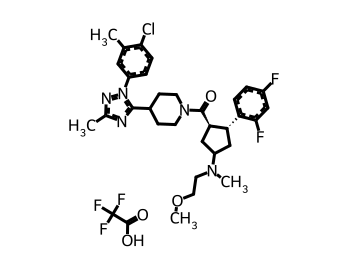 COCCN(C)C1C[C@@H](C(=O)N2CCC(c3nc(C)nn3-c3ccc(Cl)c(C)c3)CC2)[C@H](c2ccc(F)cc2F)C1.O=C(O)C(F)(F)F